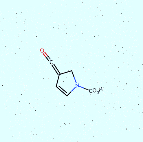 O=C=C1C=CN(C(=O)O)C1